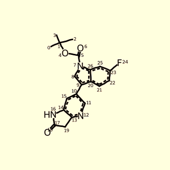 CC(C)(C)OC(=O)n1cc(-c2cnc3c(c2)NC(=O)C3)c2ccc(F)cc21